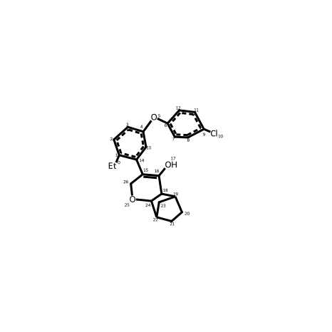 CCc1ccc(Oc2ccc(Cl)cc2)cc1C1=C(O)C2C3CCC(C3)C2OC1